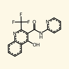 O=C(Nc1ccccn1)c1c(C(F)(F)F)nc2ccccc2c1O